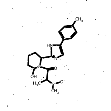 Cc1ccc(-c2cnc(C3CCCC(O)N3C(=O)C(C)[S+](C)[O-])[nH]2)cc1